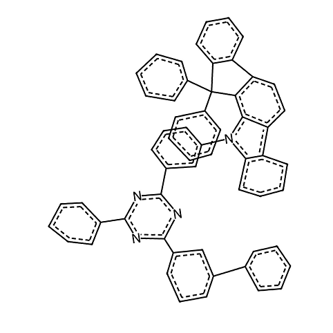 c1ccc(-c2cccc(-c3nc(-c4ccccc4)nc(-c4cccc(-n5c6ccccc6c6ccc7c(c65)C(c5ccccc5)(c5ccccc5)c5ccccc5-7)c4)n3)c2)cc1